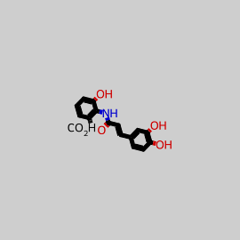 O=C(C=Cc1ccc(O)c(O)c1)Nc1c(O)cccc1C(=O)O